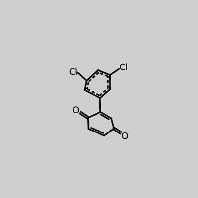 O=C1C=CC(=O)C(c2cc(Cl)cc(Cl)c2)=C1